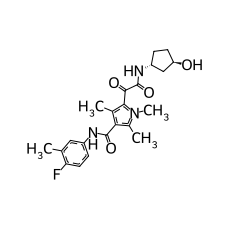 Cc1cc(NC(=O)c2c(C)c(C(=O)C(=O)N[C@@H]3CC[C@@H](O)C3)n(C)c2C)ccc1F